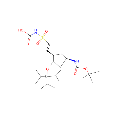 CC(C)[Si](O[C@H]1C[C@H](NC(=O)OC(C)(C)C)C[C@@H]1/C=C/S(=O)(=O)NC(=O)O)(C(C)C)C(C)C